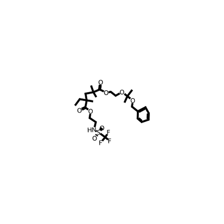 CCC(C)(CC(C)(C)C(=O)OCCOC(C)(C)OCc1ccccc1)C(=O)OCCNS(=O)(=O)C(F)(F)F